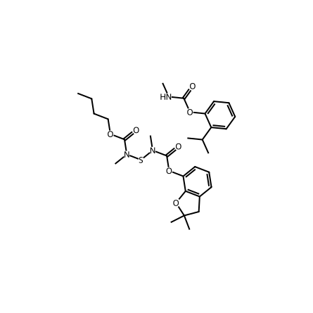 CCCCOC(=O)N(C)SN(C)C(=O)Oc1cccc2c1OC(C)(C)C2.CNC(=O)Oc1ccccc1C(C)C